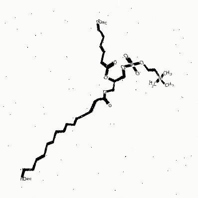 CCCCCCCCCCCCCCCCCCCCCCCC(=O)OC[C@H](COP(=O)([O-])OCC[N+](C)(C)C)OC(=O)CCCCCCCCCCCCCCC